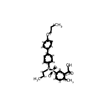 CCCOc1ccc(-c2ccc(N(CCC)S(=O)(=O)c3ccc(C)c(C(=O)O)c3)cc2)cc1